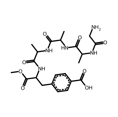 COC(=O)C(Cc1ccc(C(=O)O)cc1)NC(=O)C(C)NC(=O)C(C)NC(=O)C(C)NC(=O)CN